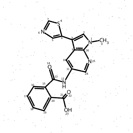 Cn1cc(-c2cncs2)c2cc(NC(=O)c3ccccc3C(=O)O)cnc21